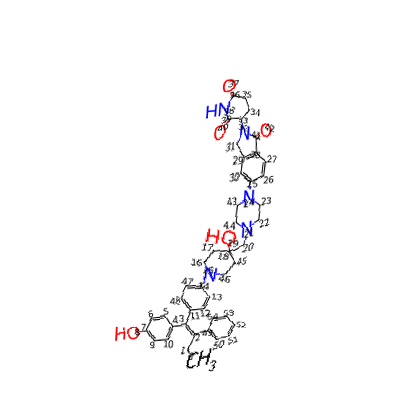 CCC(=C(c1ccc(O)cc1)c1ccc(N2CCC(O)(CN3CCN(c4ccc5c(c4)CN(C4CCC(=O)NC4=O)C5=O)CC3)CC2)cc1)c1ccccc1